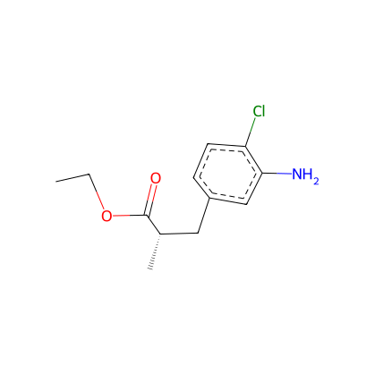 CCOC(=O)[C@@H](C)Cc1ccc(Cl)c(N)c1